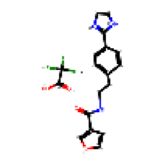 O=C(NCCc1ccc(C2=NCCN2)cc1)c1ccoc1.O=C(O)C(F)(F)F